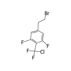 Fc1cc(CCBr)cc(F)c1C(F)(F)Cl